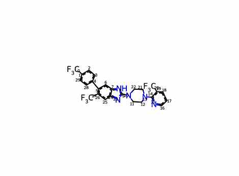 FC(F)(F)c1ccc(-c2cc3[nH]c(N4CCN(c5ncccc5C(F)(F)F)CC4)nc3cc2C(F)(F)F)cc1